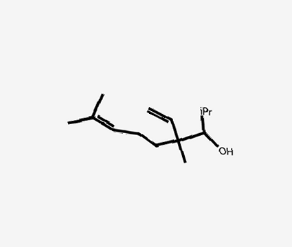 C=CC(C)(CCC=C(C)C)C(O)C(C)C